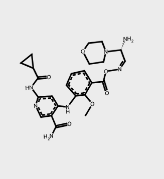 COc1c(Nc2cc(NC(=O)C3CC3)ncc2C(N)=O)cccc1C(=O)O/N=C\[C@@H](N)N1CCOCC1